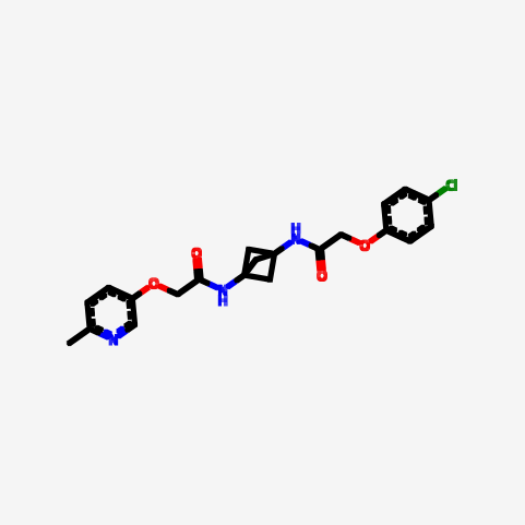 Cc1ccc(OCC(=O)NC23CC(NC(=O)COc4ccc(Cl)cc4)(C2)C3)cn1